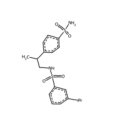 CC(C)c1cccc(S(=O)(=O)NCC(C)c2ccc(S(N)(=O)=O)cc2)c1